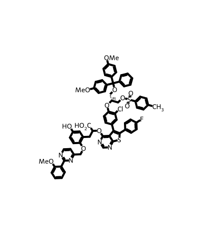 COc1ccc(C(OC[C@H](COS(=O)(=O)c2ccc(C)cc2)Oc2ccc(-c3c(-c4ccc(F)cc4)sc4ncnc(OC(Cc5cc(O)ccc5OCc5ccnc(-c6ccccc6OC)n5)C(=O)O)c34)cc2Cl)(c2ccccc2)c2ccc(OC)cc2)cc1